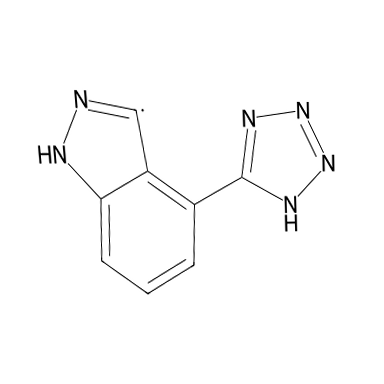 [c]1n[nH]c2cccc(-c3nnn[nH]3)c12